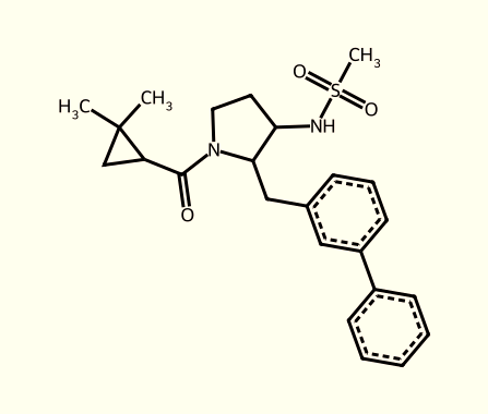 CC1(C)CC1C(=O)N1CCC(NS(C)(=O)=O)C1Cc1cccc(-c2ccccc2)c1